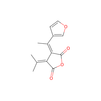 CC(C)=C1C(=O)OC(=O)C1=C(C)c1ccoc1